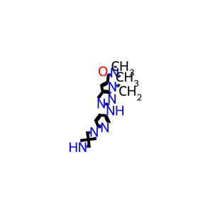 C=Cn1c(C(=O)N(C)C)cc2cnc(Nc3ccc(N4CC5(CNC5)C4)nc3)nc21